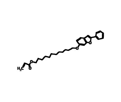 C=CC(=O)OCCCCCCCCCCCCOc1ccc2cc(-c3ccccc3)oc2c1